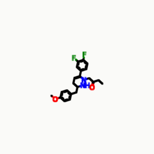 CCC(=O)CN1NC(Cc2ccc(OC)cc2)CC=C1c1ccc(F)c(F)c1